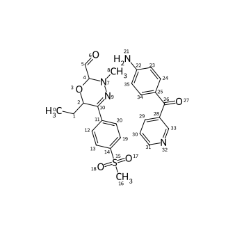 CCC1OC(C=O)N(C)N=C1c1ccc(S(C)(=O)=O)cc1.Nc1ccc(C(=O)c2cccnc2)cc1